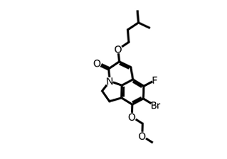 COCOc1c(Br)c(F)c2cc(OCCC(C)C)c(=O)n3c2c1CC3